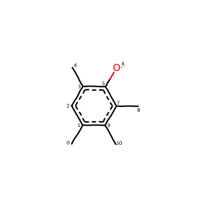 Cc1cc(C)c([O])c(C)c1C